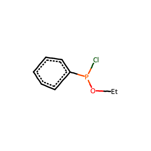 CCOP(Cl)c1ccccc1